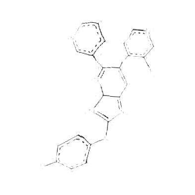 Fc1cnccc1C1=CC2=NC(Nc3ccc(Cl)cc3)=NC2N=C1c1cccnc1